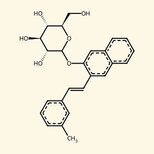 Cc1cccc(/C=C/c2cc3ccccc3cc2OC2O[C@H](CO)[C@@H](O)[C@H](O)[C@H]2O)c1